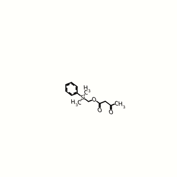 CC(=O)CC(=O)OC[Si](C)(C)c1ccccc1